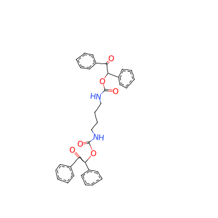 O=C(NCCCCNC(=O)OC(C(=O)c1ccccc1)c1ccccc1)OC(C(=O)c1ccccc1)c1ccccc1